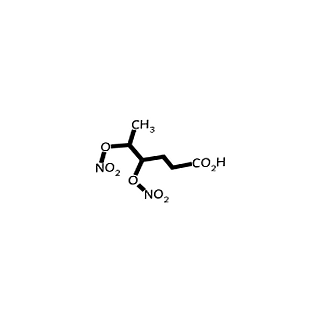 CC(O[N+](=O)[O-])C(CCC(=O)O)O[N+](=O)[O-]